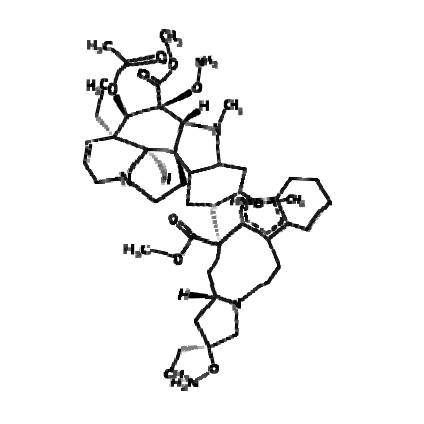 CC[C@]1(ON)C[C@@H]2C[C@](C(=O)OC)(C3CC4C(CC3OC)N(C)[C@H]3[C@@](ON)(C(=O)OC)[C@H](OC(C)=O)[C@]5(CC)C=CCN6CC[C@]43[C@@H]65)c3[nH]c4c(c3CCN2C1)CCCC4